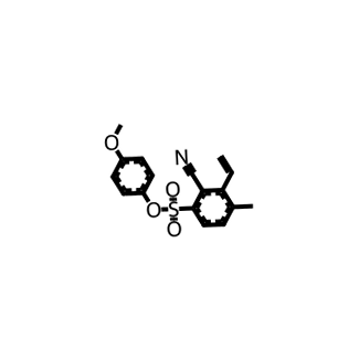 C=Cc1c(C)ccc(S(=O)(=O)Oc2ccc(OC)cc2)c1C#N